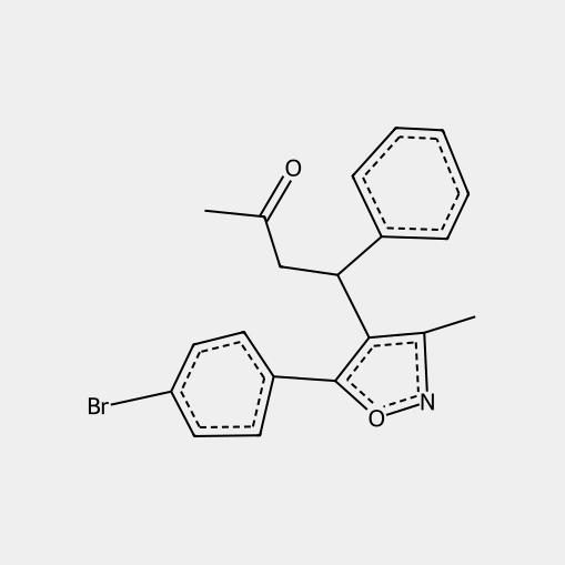 CC(=O)CC(c1ccccc1)c1c(C)noc1-c1ccc(Br)cc1